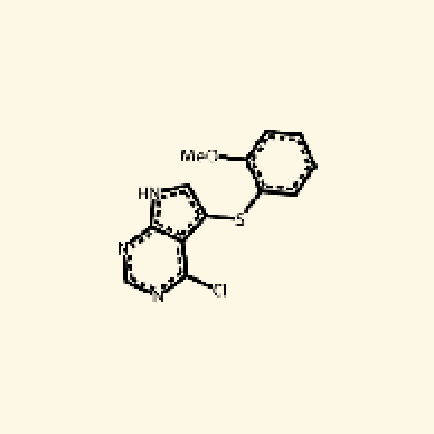 COc1ccccc1Sc1c[nH]c2ncnc(Cl)c12